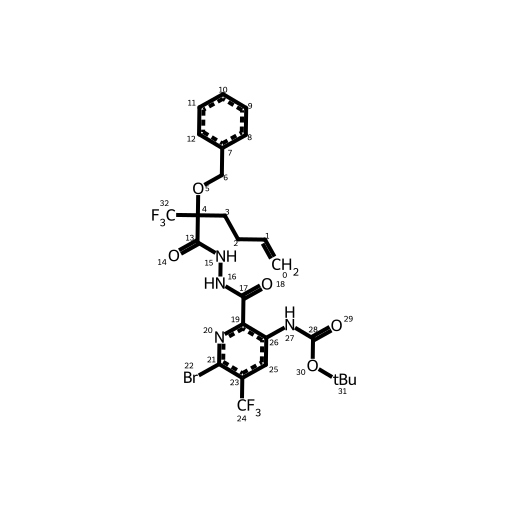 C=CCCC(OCc1ccccc1)(C(=O)NNC(=O)c1nc(Br)c(C(F)(F)F)cc1NC(=O)OC(C)(C)C)C(F)(F)F